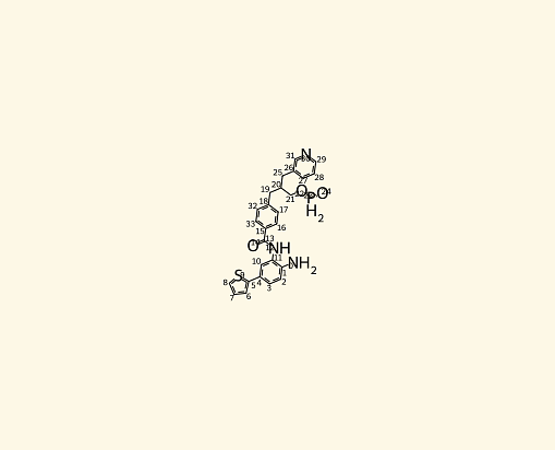 Nc1ccc(-c2cccs2)cc1NC(=O)c1ccc(CC(CO[PH2]=O)Cc2cccnc2)cc1